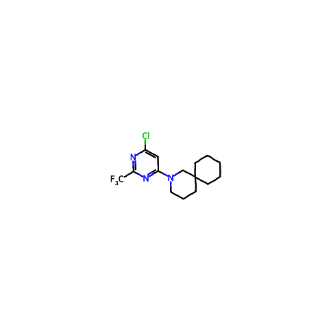 FC(F)(F)c1nc(Cl)cc(N2CCCC3(CCCCC3)C2)n1